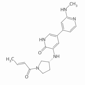 C/C=C/C(=O)N1CC[C@@H](Nc2cc(-c3ccnc(NC)c3)c[nH]c2=O)C1